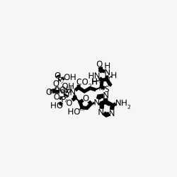 CCCCCCN(C(CCC[C@@H]1SC[C@@H]2NC(=O)N[C@@H]21)C(=O)O)C(OP(=O)(O)OP(=O)(O)OP(=O)(O)O)[C@H]1O[C@@H](n2cnc3c(N)ncnc32)C[C@@H]1O